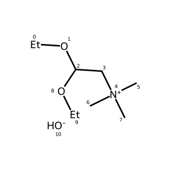 CCOC(C[N+](C)(C)C)OCC.[OH-]